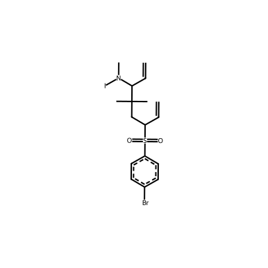 C=CC(N(C)I)C(C)(C)CC(C=C)S(=O)(=O)c1ccc(Br)cc1